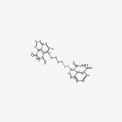 O=C1NC(=O)c2c(CCCCCCc3ccc4cccc5c4c3C(=O)NC5=O)ccc3cccc1c23